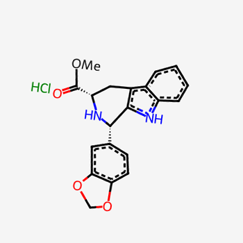 COC(=O)[C@@H]1Cc2c([nH]c3ccccc23)[C@H](c2ccc3c(c2)OCO3)N1.Cl